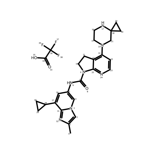 Cc1cn2cc(NC(=O)N3CCc4c(N5CCNC6(CC6)C5)ccnc43)cc(C3CC3)c2n1.O=C(O)C(F)(F)F